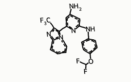 Nc1cc(Nc2ccc(OC(F)F)cc2)nc(-c2c(C(F)(F)F)nc3ccccn23)c1